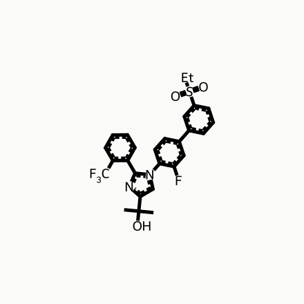 CCS(=O)(=O)c1cccc(-c2ccc(-n3cc(C(C)(C)O)nc3-c3ccccc3C(F)(F)F)c(F)c2)c1